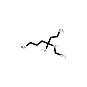 CCCCC(C)(CCC)NCC